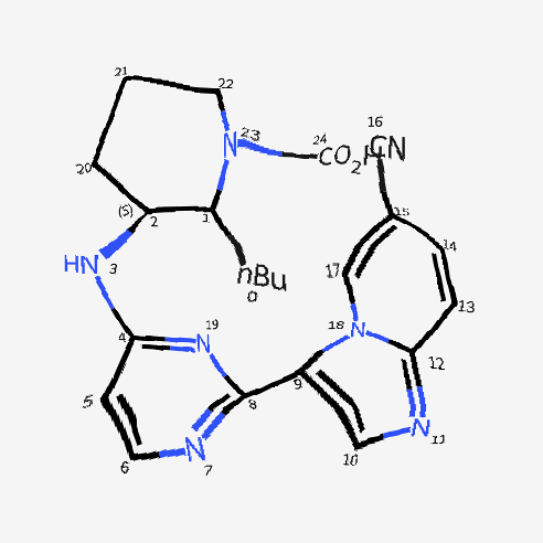 CCCCC1[C@@H](Nc2ccnc(-c3cnc4ccc(C#N)cn34)n2)CCCN1C(=O)O